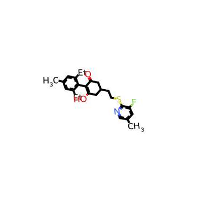 CCc1cc(C)cc(CC)c1C1=C(O)CC(CCSc2ncc(C)cc2F)CC1=O